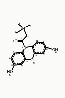 C[N+](C)(C)CC(=O)N1c2ccc(O)cc2Oc2cc(O)ccc21